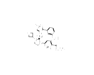 CNC(=O)c1nnc(N2CCN(C3COC3)C2=O)cc1Nc1cccc(-c2ncn(C)n2)c1OC